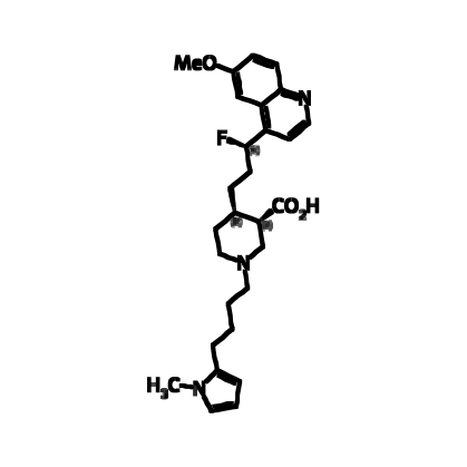 COc1ccc2nccc([C@H](F)CC[C@@H]3CCN(CCCCc4cccn4C)C[C@@H]3C(=O)O)c2c1